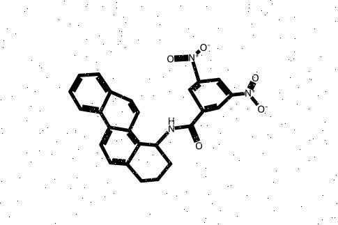 O=C(NC1CCCc2ccc3c(ccc4ccccc43)c21)c1cc([N+](=O)[O-])cc([N+](=O)[O-])c1